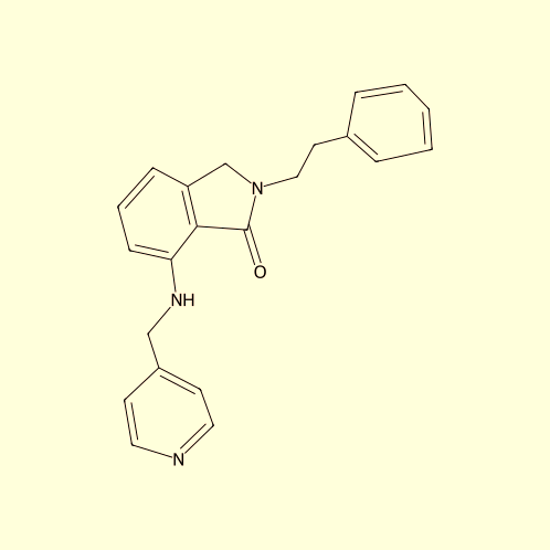 O=C1c2c(cccc2NCc2ccncc2)CN1CCc1ccccc1